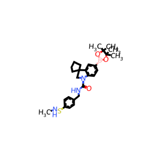 CNSc1ccc(CNC(=O)N2CC3(CCCC3)c3cc(B4OC(C)(C)C(C)(C)O4)ccc32)cc1